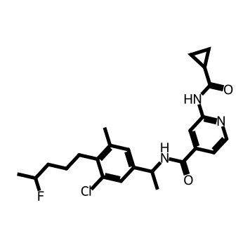 Cc1cc(C(C)NC(=O)c2ccnc(NC(=O)C3CC3)c2)cc(Cl)c1CCCC(C)F